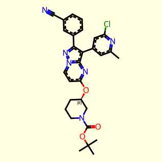 Cc1cc(-c2c(-c3cccc(C#N)c3)nn3ccc(O[C@@H]4CCCN(C(=O)OC(C)(C)C)C4)nc23)cc(Cl)n1